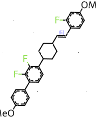 COc1ccc(-c2ccc(C3CCC(/C=C/c4ccc(OC)cc4F)CC3)c(F)c2F)cc1